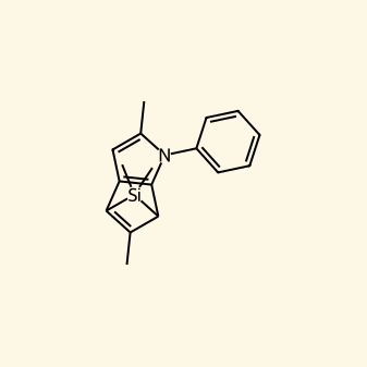 CC1=C2c3cc(C)n(-c4ccccc4)c3C1[Si]2(C)C